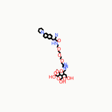 COC1OC(Cn2cc(COCCOCCOCCNC(=O)/C(C#N)=C/c3ccc4cc(N5CCCCC5)ccc4c3)nn2)C(CC(=O)O)C(CC(=O)O)C1CC(=O)O